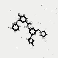 Cc1cn(-c2cc(CN3CC[C@H](C)C3)cc(NC(=O)c3ccc(C)c(Oc4ccccc4)c3)c2)cn1